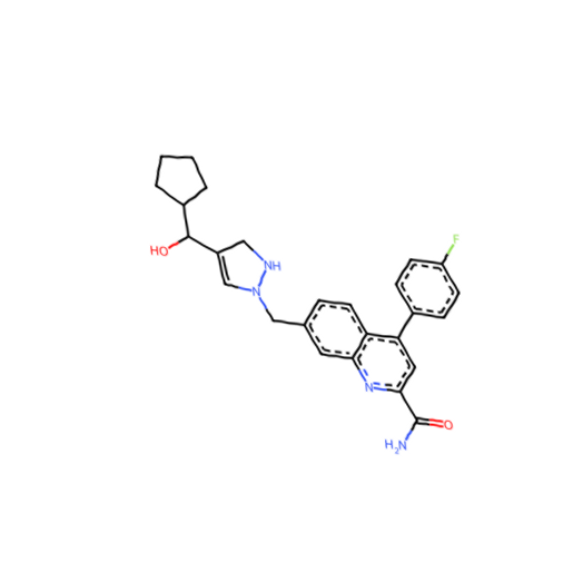 NC(=O)c1cc(-c2ccc(F)cc2)c2ccc(CN3C=C(C(O)C4CCCC4)CN3)cc2n1